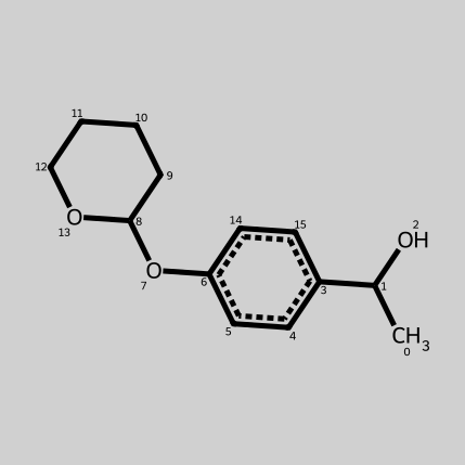 CC(O)c1ccc(OC2CCCCO2)cc1